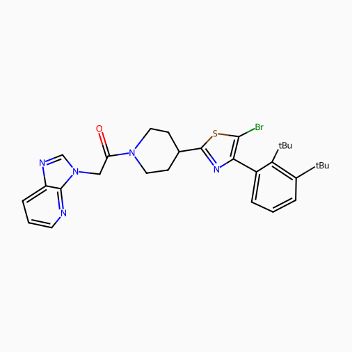 CC(C)(C)c1cccc(-c2nc(C3CCN(C(=O)Cn4cnc5cccnc54)CC3)sc2Br)c1C(C)(C)C